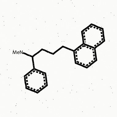 CNC(CCCc1cccc2ccccc12)c1ccccc1